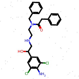 Nc1c(Cl)cc(C(O)CNCCN(Cc2ccccc2)C(=O)Cc2ccccc2)cc1Cl